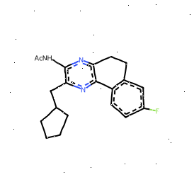 CC(=O)Nc1nc2c(nc1CC1CCCC1)-c1ccc(F)cc1CC2